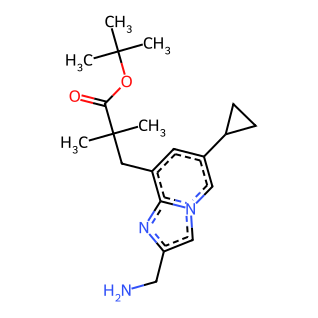 CC(C)(C)OC(=O)C(C)(C)Cc1cc(C2CC2)cn2cc(CN)nc12